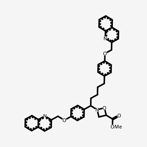 COC(=O)C1CN(C(CCCCc2ccc(OCc3ccc4ccccc4n3)cc2)c2ccc(OCc3ccc4ccccc4n3)cc2)O1